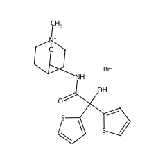 C[N+]12CCC(CC1)C(NC(=O)C(O)(c1cccs1)c1cccs1)C2.[Br-]